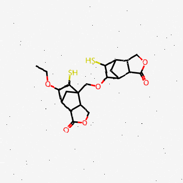 CCOC1C2CC(COC3C(S)C4CC3C3C(=O)OCC43)(C1S)C1COC(=O)C21